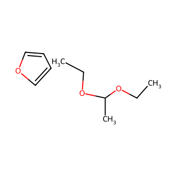 CCOC(C)OCC.c1ccoc1